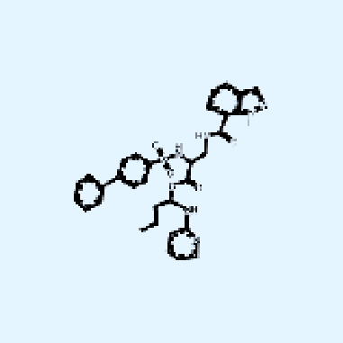 CCCC(Nc1ccccn1)OC(=O)C(CNC(=O)c1cccc2cn[nH]c12)NS(=O)(=O)c1ccc(-c2ccccc2)cc1